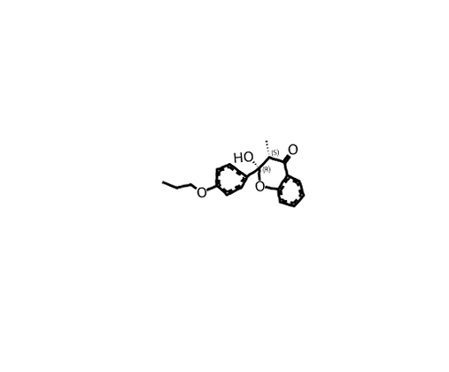 CCCOc1ccc([C@]2(O)Oc3ccccc3C(=O)[C@H]2C)cc1